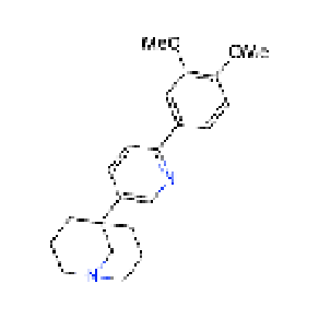 COc1ccc(-c2ccc(C34CCCN(CCC3)C4)cn2)cc1OC